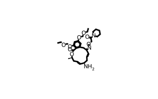 CCOCOc1cc2c(c(OCOCC)c1)C(=O)O[C@H](C)C/C=C/[C@@H](N)C/C=C/C(=N/OCC(=O)N1CCCCC1)C2